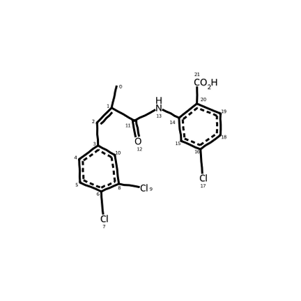 CC(=Cc1ccc(Cl)c(Cl)c1)C(=O)Nc1cc(Cl)ccc1C(=O)O